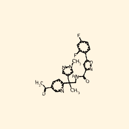 CC(=O)c1ccc(C(C)(CNC(=O)c2cc(-c3ccc(F)cc3F)on2)c2cnn(C)c2)nc1